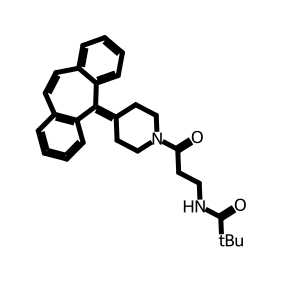 CC(C)(C)C(=O)NCCC(=O)N1CCC(=C2C3=C(C=C=C=C3)C=Cc3ccccc32)CC1